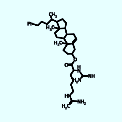 C=C(N)NCCCCC(NC(=N)N)C(=O)OC1CCC2(C)C(=CCC3C2CCC2(C)C(C(C)CCCC(C)C)CCC32)C1